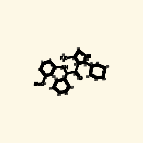 COc1cccc(NC(C(=O)c2c(C(F)(F)F)c[nH]c2-c2ccccc2)c2ccccc2)c1